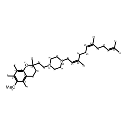 COc1c(C)c(C)c2c(c1C)CCC(C)(CCN1CCN(CC=C(C)CCC=C(C)CCC=C(C)C)CC1)O2